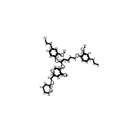 CCCc1ccc(OCCCCC(Oc2ccc(CCC)cc2OC)Oc2coc(COC3CCCCO3)cc2=O)c(OC)c1